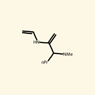 C=CNC(=C)C(CCC)NC